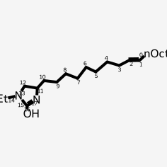 CCCCCCCCC=CCCCCCCCCC1CN(CC)C(O)=N1